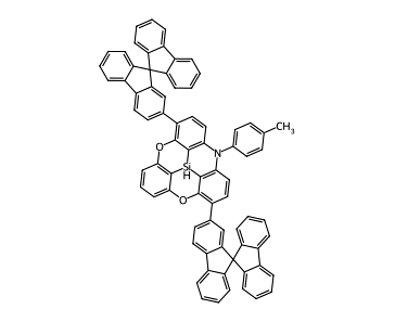 Cc1ccc(N2c3ccc(-c4ccc5c(c4)C4(c6ccccc6-c6ccccc64)c4ccccc4-5)c4c3[SiH]3c5c(cccc5Oc5c(-c6ccc7c(c6)C6(c8ccccc8-c8ccccc86)c6ccccc6-7)ccc2c53)O4)cc1